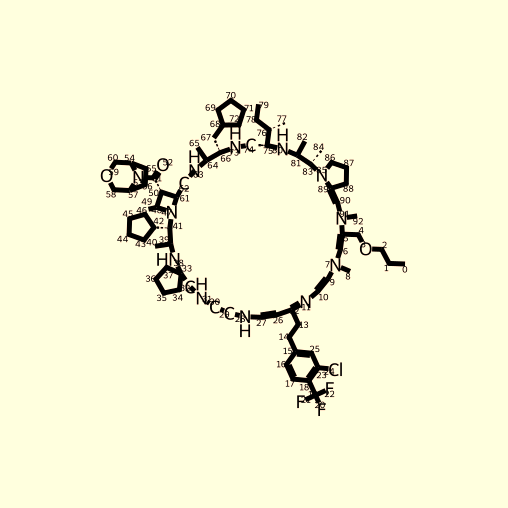 CCCOCC1=CN(C)C=CN=C(CCc2ccc(C(F)(F)F)c(Cl)c2)C=CNCCNCC2(CCCC2)NC(C)[C@H](C2CCCC2)N2C(C)[C@H](C(=O)N3C4CCC3COC4)C2CNC(C)[C@H](CC2CCCC2)NC[C@H]([C@@H](C)CC)NC(C)[C@H](C)N2CCCC2=CN1C